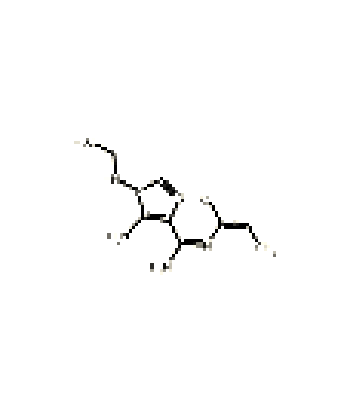 C/C=C(Cl)\N=C(\N)c1ncn(NCC)c1N